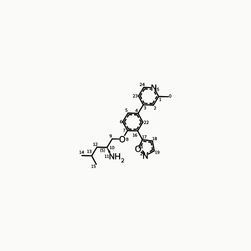 Cc1cc(-c2ccc(OC[C@@H](N)CC(C)C)c(-c3ccno3)c2)ccn1